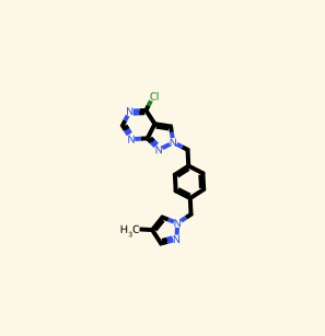 Cc1cnn(Cc2ccc(Cn3cc4c(Cl)ncnc4n3)cc2)c1